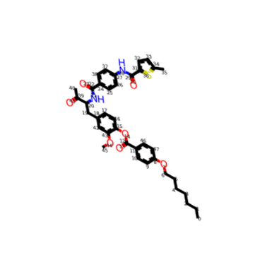 CCCCCCCOc1ccc(C(=O)Oc2ccc(CC(NC(=O)c3ccc(NC(=O)c4ccc(C)s4)cc3)C(C)=O)cc2OC)cc1